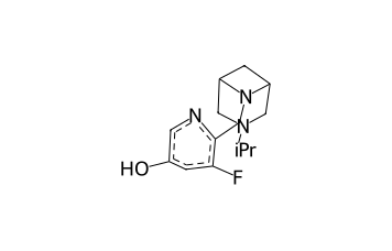 CC(C)N1CC2CC(C1)N2Cc1ncc(O)cc1F